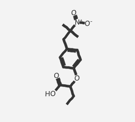 CCC(Oc1ccc(CC(C)(C)[N+](=O)[O-])cc1)C(=O)O